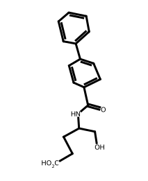 O=C(O)CCC(CO)NC(=O)c1ccc(-c2ccccc2)cc1